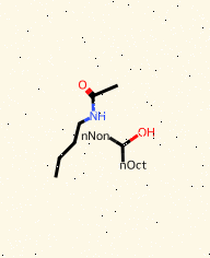 CCCCCCCCCC(O)CCCCCCCC.CCCCNC(C)=O